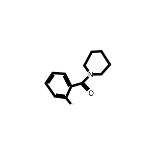 [CH2]c1ccccc1C(=O)N1CCCCC1